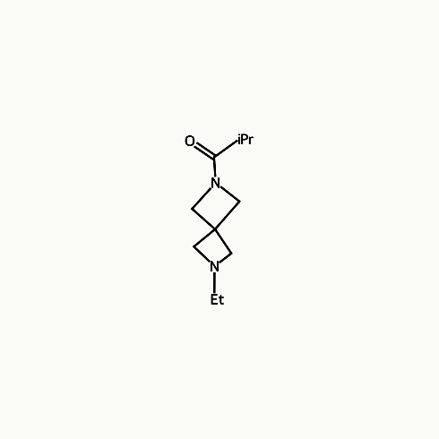 CCN1CC2(C1)CN(C(=O)C(C)C)C2